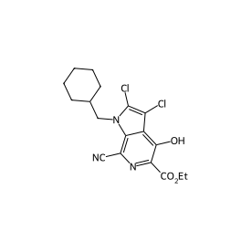 CCOC(=O)c1nc(C#N)c2c(c1O)c(Cl)c(Cl)n2CC1CCCCC1